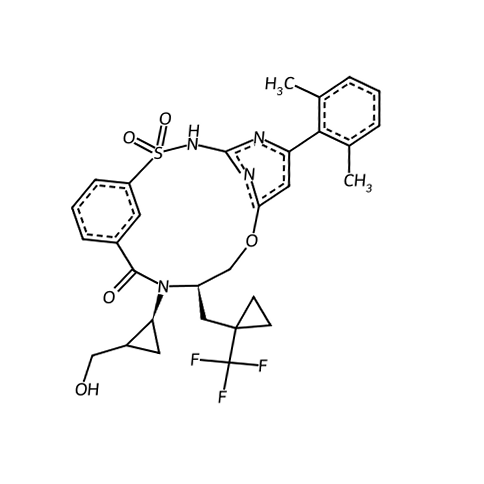 Cc1cccc(C)c1-c1cc2nc(n1)NS(=O)(=O)c1cccc(c1)C(=O)N([C@H]1CC1CO)[C@H](CC1(C(F)(F)F)CC1)CO2